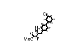 COC(=O)C(F)[C@H](N)Cc1ccc(-c2cccc(Cl)c2)cc1